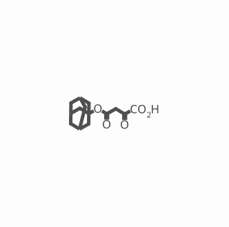 O=C(CC(=O)C(=O)O)OC12CC3CC(CC(C3)C1)C2